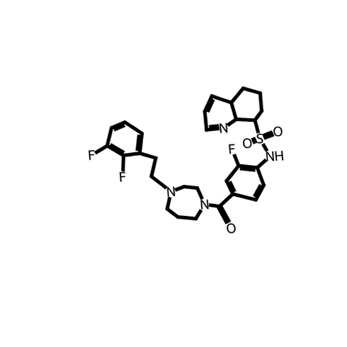 O=C(c1ccc(NS(=O)(=O)C2CCCC3C=CC=NC32)c(F)c1)N1CCCN(CCc2cccc(F)c2F)CC1